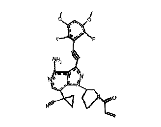 C=CC(=O)N1CCC(n2nc(C#Cc3c(F)c(OC)cc(OC)c3F)c3c(N)ncc(C4(C#N)CC4)c32)C1